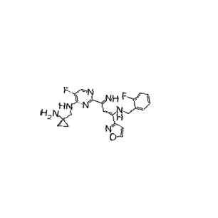 N=C(/C=C(\NCc1ccccc1F)c1ccon1)c1ncc(F)c(NCC2(N)CC2)n1